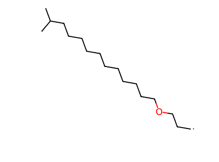 [CH2]CCOCCCCCCCCCCCC(C)C